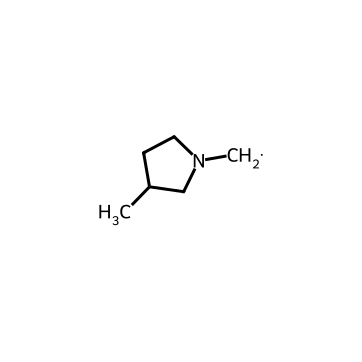 [CH2]N1CCC(C)C1